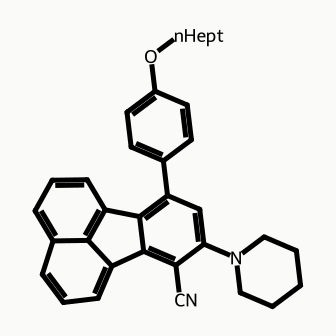 CCCCCCCOc1ccc(-c2cc(N3CCCCC3)c(C#N)c3c2-c2cccc4cccc-3c24)cc1